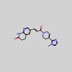 Cn1ccnc1C1=CCN(C(=O)C=Cc2cnc3c(c2)CCC(=O)N3)CC1